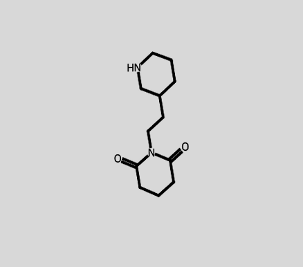 O=C1CCCC(=O)N1CCC1CCCNC1